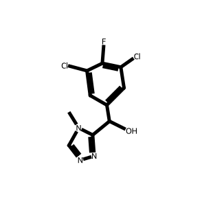 Cn1cnnc1C(O)c1cc(Cl)c(F)c(Cl)c1